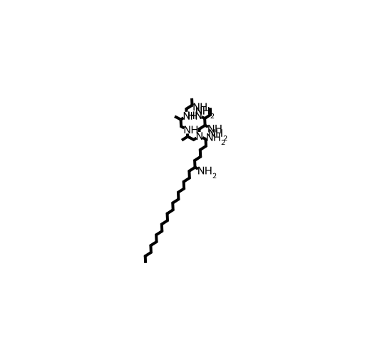 CCCCCCCCCCCCCCCCCCC(N)CCCCC(N)N(CC(C)NCC(C)NCC(C)N)CC(NN)C(CC)NN